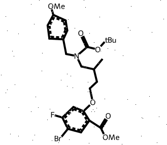 COC(=O)c1cc(Br)c(F)cc1OCCC(C)CN(Cc1ccc(OC)cc1)C(=O)OC(C)(C)C